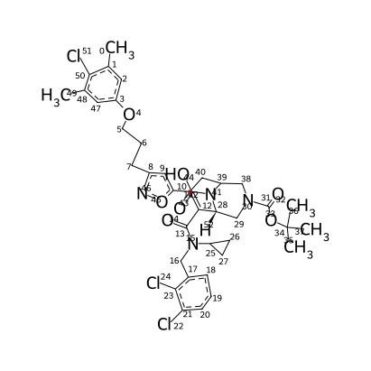 Cc1cc(OCCCc2cc(C3=C(C(=O)N(Cc4cccc(Cl)c4Cl)C4CC4)[C@H]4CN(C(=O)OC(C)(C)C)CC(C3)N4C(=O)O)on2)cc(C)c1Cl